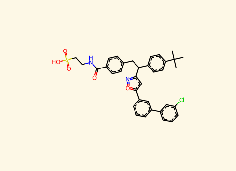 CC(C)(C)c1ccc(C(Cc2ccc(C(=O)NCCS(=O)(=O)O)cc2)c2cc(-c3cccc(-c4cccc(Cl)c4)c3)on2)cc1